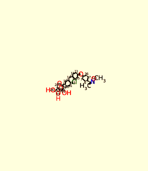 CO/N=C(/C)c1ccc(Oc2ccc(Cc3cc([C@]45C[C@@H](O)[C@H](O)[C@](CO)(CO4)O5)ccc3Cl)cc2)cc1